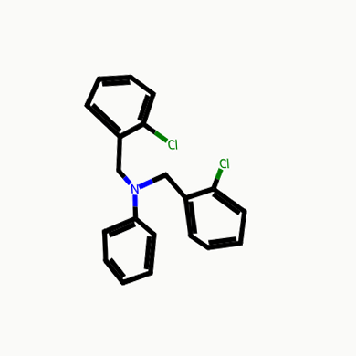 Clc1ccccc1CN(Cc1ccccc1Cl)c1ccccc1